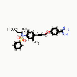 Cc1cc(N(CCC(=O)O)S(=O)(=O)c2ccccc2)c(C)cc1C#CCOc1ccc(C(=N)N)cc1